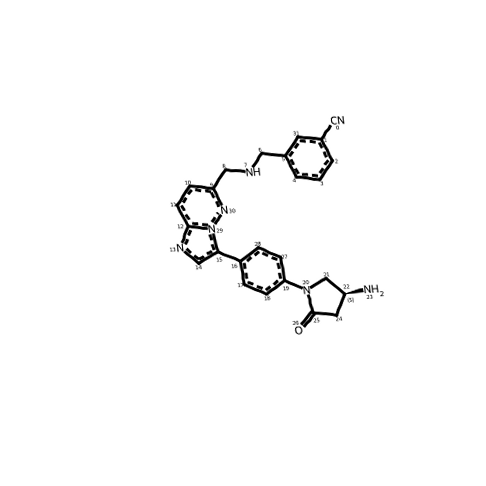 N#Cc1cccc(CNCc2ccc3ncc(-c4ccc(N5C[C@@H](N)CC5=O)cc4)n3n2)c1